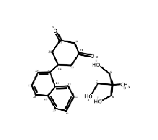 CC(CO)(CO)CO.O=C1CC(=O)CC(c2cccc3ccccc23)C1